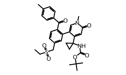 CCS(=O)(=O)Cc1ccc(C(=O)c2ccc(C)cc2)c(-c2cn(C)c(=O)cc2C2(NC(=O)OC(C)(C)C)CC2)c1